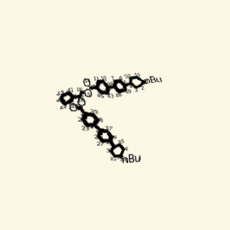 CCCCC1CCC(c2ccc(-c3ccc(C(=O)OCC(OC(=O)c4ccc(-c5ccc(C6CCC(CCCC)CC6)cc5)cc4)c4ccccc4)cc3)cc2)CC1